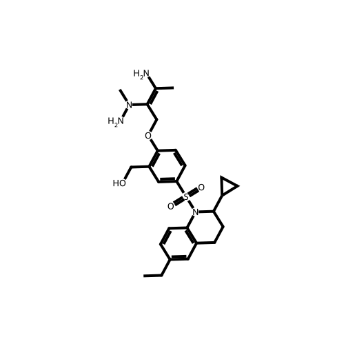 CCc1ccc2c(c1)CCC(C1CC1)N2S(=O)(=O)c1ccc(OC/C(=C(\C)N)N(C)N)c(CO)c1